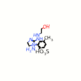 Cc1ccc(S(=O)(=O)O)c([N+]2(N)CCN=C2NNCCO)c1